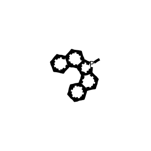 Cp1c2ccc3ccccc3c2c2c3ccccc3ccc21